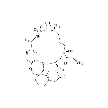 C=CC[C@@]1(O)/C=C/C[C@H](C)[C@@H](C)S(=O)(=O)NC(=O)c2ccc3c(c2)N(C[C@H](C)[C@H]1CC)C[C@@]1(CCCc2cc(Cl)ccc21)CO3